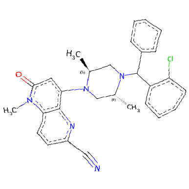 C[C@@H]1CN(c2cc(=O)n(C)c3ccc(C#N)nc23)[C@@H](C)CN1C(c1ccccc1)c1ccccc1Cl